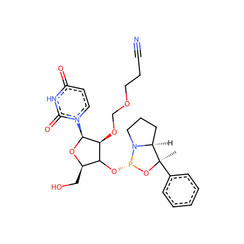 C[C@]1(c2ccccc2)O[P@](OC2[C@@H](CO)O[C@@H](n3ccc(=O)[nH]c3=O)[C@H]2OCOCCC#N)N2CCC[C@H]21